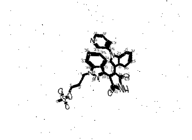 CS(=O)(=O)OCCCn1nc(C2=C(c3cn(-c4cccnc4)c4ccccc34)C(=O)NC2=O)c2ccccc21